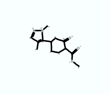 COC(=O)C1CCC(c2c(C)cnn2C)CC1=O